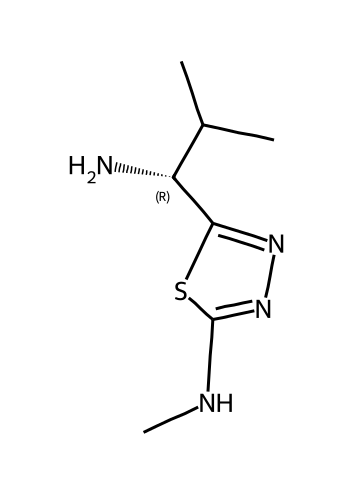 CNc1nnc([C@H](N)C(C)C)s1